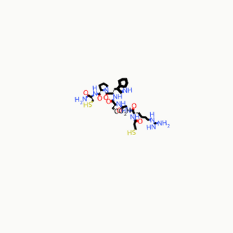 N=C(N)NCCCC[C@H](NC(=O)CCS)C(=O)NCC(=O)N[C@@H](CC(=O)O)C(=O)N[C@@H](Cc1c[nH]c2ccccc12)C(=O)N1CCC[C@H]1C(=O)N[C@@H](CS)C(N)=O